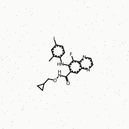 Cc1cc(I)ccc1Nc1c(C(=O)NOCC2CC2)cc2nccnc2c1F